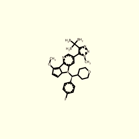 BC(B)(B)c1nnn(C)c1-c1cnc2c(c1)N([C@H](c1ccc(F)cc1)C1CCOCC1)C1C=CC(OC)=C21